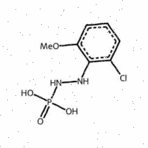 COc1cccc(Cl)c1NNP(=O)(O)O